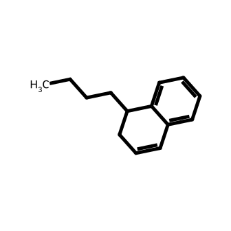 CCCC[C]1CC=Cc2ccccc21